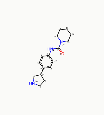 O=C(Nc1ccc([C@H]2CCNC2)cc1)N1CCCCC1